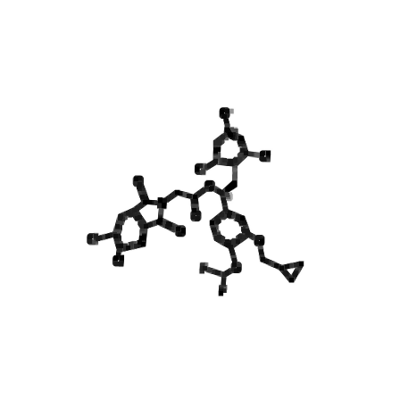 O=C(CN1C(=O)c2cc(Cl)c(Cl)cc2C1=O)O[C@@H](Cc1c(Cl)c[n+]([O-])cc1Cl)c1ccc(OC(F)F)c(OCC2CC2)c1